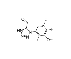 COc1c(C)c(N2N=NNC2C=O)cc(F)c1F